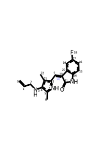 C=CCNc1c(C)[nH]c(/C=C2\C(=O)Nc3ccc(F)cc32)c1C